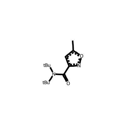 Cc1cc(C(=O)N(C(C)(C)C)C(C)(C)C)no1